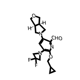 O=Cc1nc(OCC2CC2)c(N2CC(F)(F)C2)cc1N1C[C@H]2COC[C@H]2C1